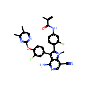 C=C(C)C(=O)Nc1ccc(-c2c(-c3ccc(Oc4ncc(C)c(C)n4)c(F)c3)c3c(N)ncc(C#N)c3n2C)c(F)c1